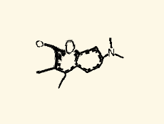 Cc1c(C)c2ccc(N(C)C)cc2oc1=O